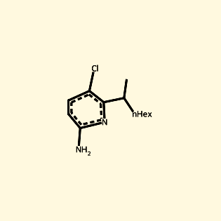 CCCCCCC(C)c1nc(N)ccc1Cl